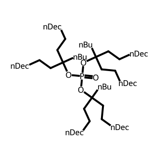 CCCCCCCCCCCCC(CCCC)(CCCCCCCCCCCC)OP(=O)(OC(CCCC)(CCCCCCCCCCCC)CCCCCCCCCCCC)OC(CCCC)(CCCCCCCCCCCC)CCCCCCCCCCCC